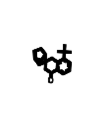 CC(C)(C)c1cccc2c1CC1(CC2=O)CC2=CCC1C2